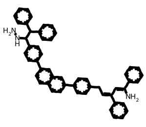 NNC(c1ccc(-c2ccc3ccc(-c4ccc(C/C=C(\C=C(/N)c5ccccc5)c5ccccc5)cc4)cc3c2)cc1)C(c1ccccc1)c1ccccc1